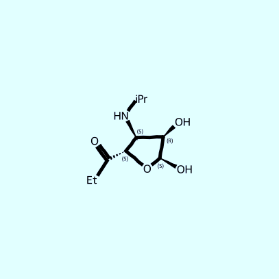 CCC(=O)[C@H]1O[C@H](O)[C@H](O)[C@@H]1NC(C)C